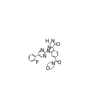 NC(=O)c1nn(-c2ncc(-c3ccccc3F)cn2)c2cc(C(=O)N3CCOCC3)ccc12